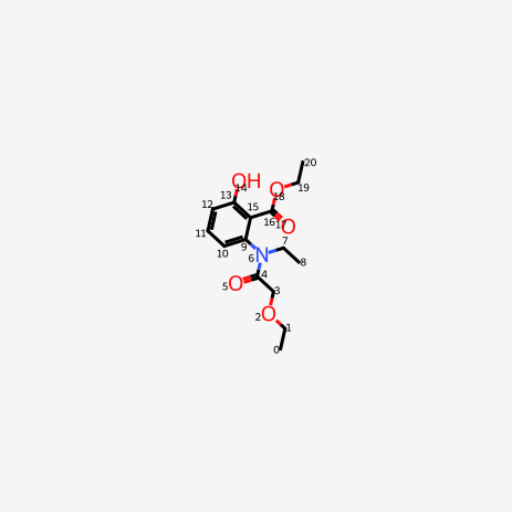 CCOCC(=O)N(CC)c1cccc(O)c1C(=O)OCC